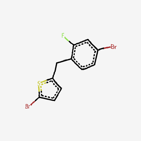 Fc1cc(Br)ccc1Cc1ccc(Br)s1